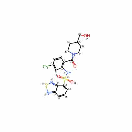 O=C(c1ccc(Cl)cc1NS(=O)(=O)c1cccc2nsnc12)N1CCC(CO)CC1